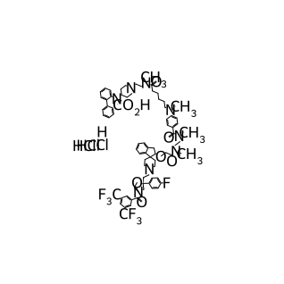 CN(CCN1CCC(N(C(=O)O)c2ccccc2-c2ccccc2)CC1)C(=O)CCCCCN(C)c1ccc(C(=O)N(C)CCN(C)C(=O)CO[C@H]2Cc3ccccc3C23CCN(CC[C@@]2(c4ccc(F)cc4)CN(C(=O)c4cc(C(F)(F)F)cc(C(F)(F)F)c4)CO2)CC3)cc1.Cl.Cl.Cl